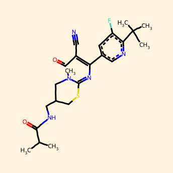 CC(C)C(=O)NCC1CS/C(=N/C(=C(/C#N)C=O)c2cnc(C(C)(C)C)c(F)c2)N(C)C1